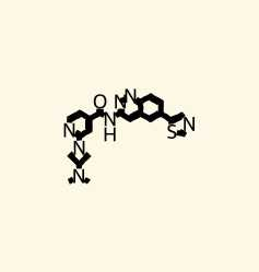 CN(C)C1CN(c2cc(C(=O)Nc3cc4cc(-c5cncs5)ccc4nn3)ccn2)C1